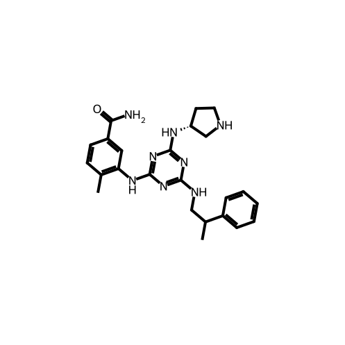 Cc1ccc(C(N)=O)cc1Nc1nc(NCC(C)c2ccccc2)nc(N[C@@H]2CCNC2)n1